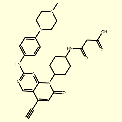 C#Cc1cc(=O)n(C2CCC(NC(=O)CC(=O)O)CC2)c2nc(Nc3ccc(N4CCN(C)CC4)cc3)ncc12